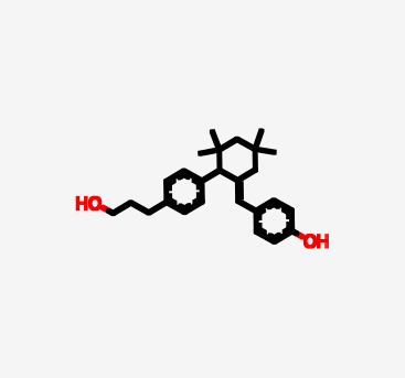 CC1(C)CC(=Cc2ccc(O)cc2)C(c2ccc(CCCO)cc2)C(C)(C)C1